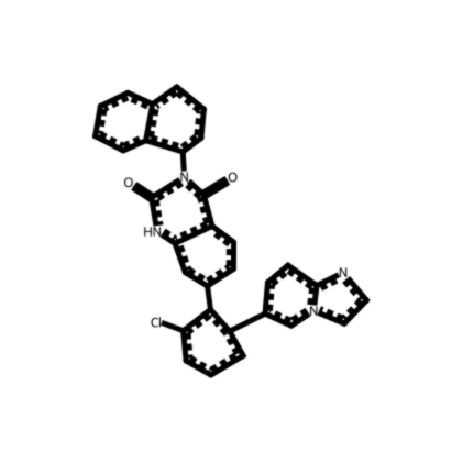 O=c1[nH]c2cc(-c3c(Cl)cccc3-c3ccc4nccn4c3)ccc2c(=O)n1-c1cccc2ccccc12